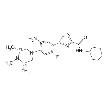 C[C@@H]1CN(c2cc(F)c(-c3csc(C(=O)NC4CCCCC4)n3)cc2N)C[C@H](C)N1C